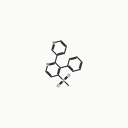 CS(=O)(=O)c1ccnc(-c2cccnc2)c1-c1ccccc1